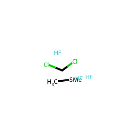 CSC.ClCCl.F.F.F